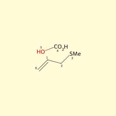 C=CCSC.O=C(O)O